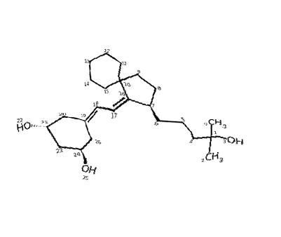 CC(C)(O)CCC[C@@H]1CCC2(CCCCC2)/C1=C\C=C1C[C@@H](O)C[C@H](O)C1